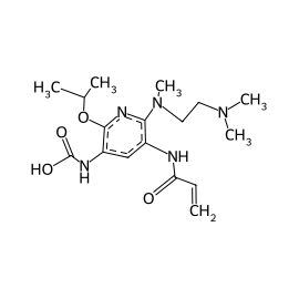 C=CC(=O)Nc1cc(NC(=O)O)c(OC(C)C)nc1N(C)CCN(C)C